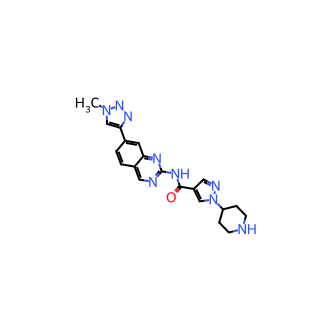 Cn1cc(-c2ccc3cnc(NC(=O)c4cnn(C5CCNCC5)c4)nc3c2)nn1